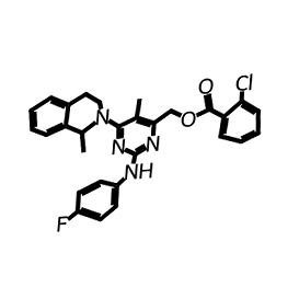 Cc1c(COC(=O)c2ccccc2Cl)nc(Nc2ccc(F)cc2)nc1N1CCc2ccccc2C1C